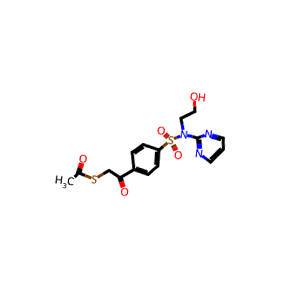 CC(=O)SCC(=O)c1ccc(S(=O)(=O)N(CCO)c2ncccn2)cc1